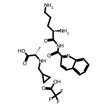 C[C@H](NCC1CC1)C(=O)O.NCCC[C@@H](N)C(=O)NC(=O)c1ccc2ccccc2n1.O=C(O)C(F)(F)F